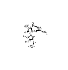 CCCn1c(=O)n([C@@H]2O[C@H](CO)[C@H](O)[C@H]2O)c2nc(N)[nH]c(=O)c21